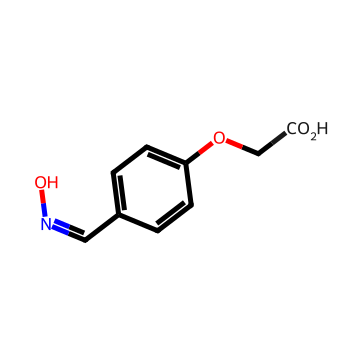 O=C(O)COc1ccc(/C=N\O)cc1